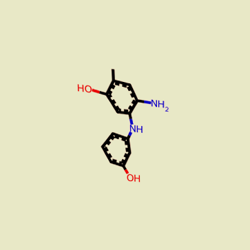 Cc1cc(N)c(Nc2cccc(O)c2)cc1O